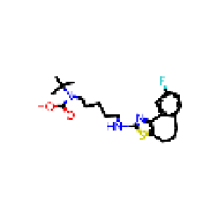 CC(C)(C)N(CCCCCNc1nc2c(s1)CCCc1ccc(F)cc1-2)C(=O)O